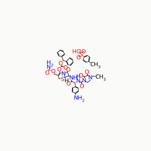 CCN1CCN(C(=O)N[C@@H](C(=O)N[C@@H]2C(=O)N3C(OC(=O)OC(c4ccccc4)c4ccccc4)=C(COC(N)=O)CS[C@@H]23)c2ccc(N)cc2)C(=O)C1=O.Cc1ccc(S(=O)(=O)O)cc1